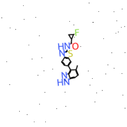 Cc1ccc2[nH]cnc2c1-c1ccc2nc(NC(=O)C3CC3F)sc2c1